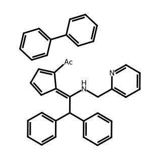 CC(=O)C1=CC=CC1=C(NCc1ccccn1)C(c1ccccc1)c1ccccc1.c1ccc(-c2ccccc2)cc1